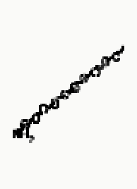 CCCOCCOCCOCCOCCOCCOCCOCCOCCOCCOCCN